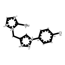 CC(C)(C)c1ncnn1Cc1cn(-c2ccc(Cl)cc2)nn1